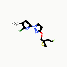 O=C(O)c1ccc(-n2ccc(OCC3(CCF)CS3)n2)nc1Cl